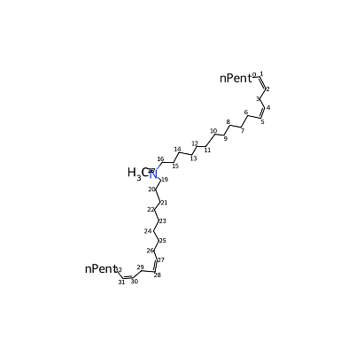 CCCCC/C=C\C/C=C\CCCCCCCCCCCN(C)CCCCCCCC/C=C\C/C=C\CCCCC